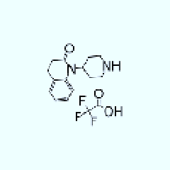 O=C(O)C(F)(F)F.O=C1CCc2ccccc2N1C1CCNCC1